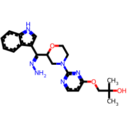 CC(C)(O)COc1ccnc(N2CCOC(C(=NN)c3c[nH]c4ccccc34)C2)n1